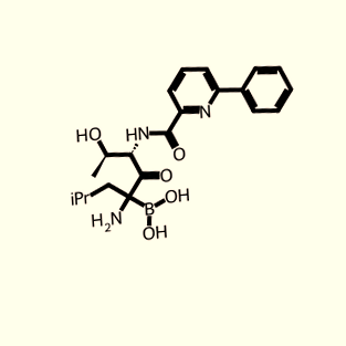 CC(C)CC(N)(B(O)O)C(=O)[C@@H](NC(=O)c1cccc(-c2ccccc2)n1)[C@@H](C)O